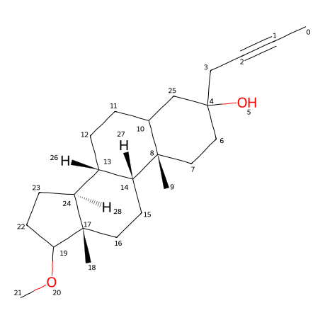 CC#CCC1(O)CC[C@@]2(C)C(CC[C@@H]3[C@H]2CC[C@]2(C)C(OC)CC[C@@H]32)C1